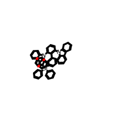 C1=Cc2c(n(-c3cccc(-n4c5ccccc5c5ccccc54)c3-c3cccc([Si](c4ccccc4)(c4ccccc4)c4ccccc4)c3)c3ccccc23)CC1